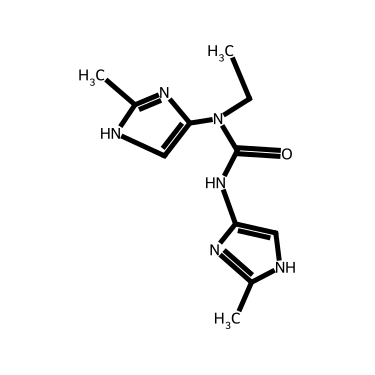 CCN(C(=O)Nc1c[nH]c(C)n1)c1c[nH]c(C)n1